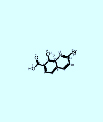 Cc1c(C(=O)O)ccc2ccc(Br)nc12